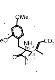 CCOC(=O)C=C(C)[C@@H]1NC(=O)[C@]1(N)Cc1ccc(OC)cc1OC